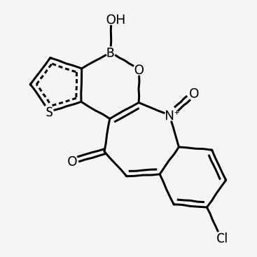 O=C1C=C2C=C(Cl)C=CC2[N+](=O)C2=C1c1sccc1B(O)O2